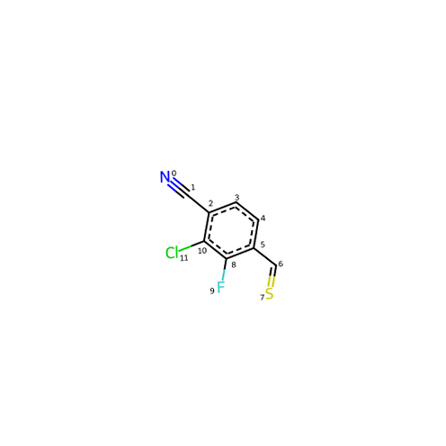 N#Cc1ccc(C=S)c(F)c1Cl